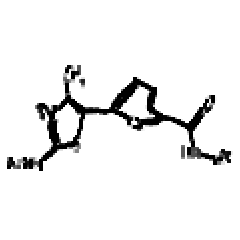 CCCNC(=O)c1ccc(-c2sc(NC(C)=O)nc2C)o1